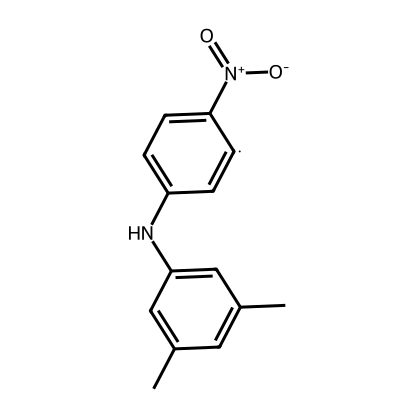 Cc1cc(C)cc(Nc2c[c]c([N+](=O)[O-])cc2)c1